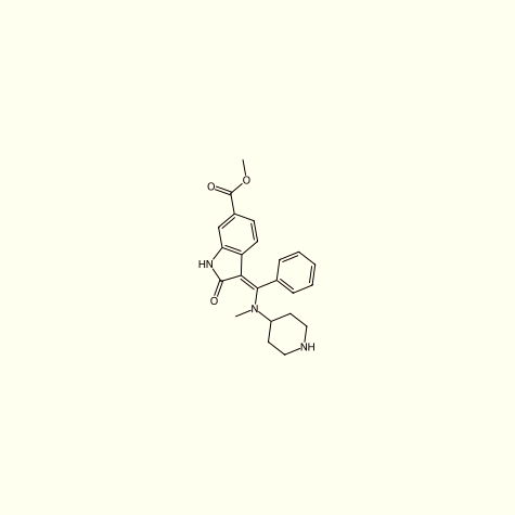 COC(=O)c1ccc2c(c1)NC(=O)/C2=C(/c1ccccc1)N(C)C1CCNCC1